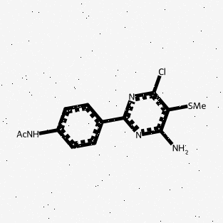 CSc1c(N)nc(-c2ccc(NC(C)=O)cc2)nc1Cl